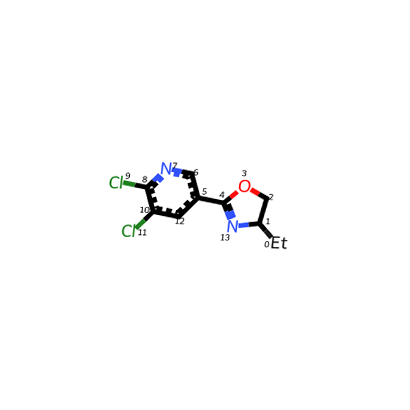 CCC1COC(c2cnc(Cl)c(Cl)c2)=N1